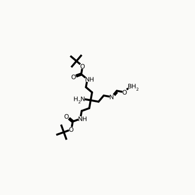 BOC=NCCC(N)(CCNC(=O)OC(C)(C)C)CCNC(=O)OC(C)(C)C